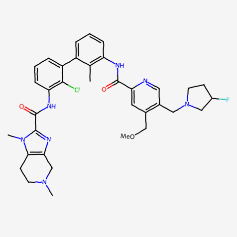 COCc1cc(C(=O)Nc2cccc(-c3cccc(NC(=O)c4nc5c(n4C)CCN(C)C5)c3Cl)c2C)ncc1CN1CCC(F)C1